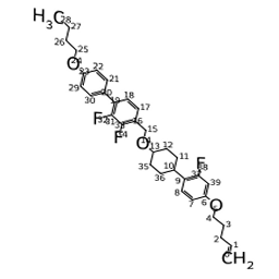 C=CCCCOc1ccc(C2CCC(OCc3ccc(-c4ccc(OCCCC)cc4)c(F)c3F)CC2)c(F)c1